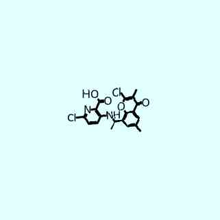 Cc1cc([C@@H](C)Nc2ccc(Cl)nc2C(=O)O)c2oc(Cl)c(C)c(=O)c2c1